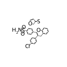 NS(=O)(=O)c1ccc(C2=C(c3ccc(Cl)cc3)Cc3ccccc3O2)cc1.S=C1C=COC1